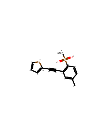 CNS(=O)(=O)c1ccc(C)cc1C#Cc1cccs1